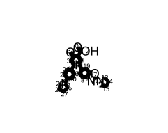 O=C(O)c1cn(-c2ccc3nc(N4CCCC4)oc3c2)c(-c2ccc(N3CCCC3)cc2)cc1=O